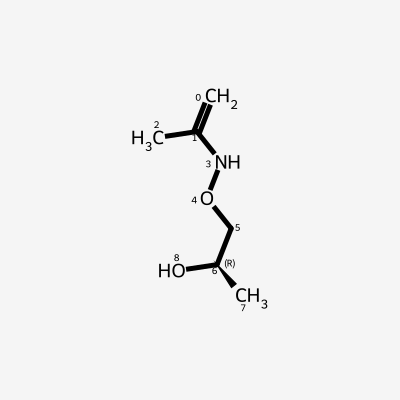 C=C(C)NOC[C@@H](C)O